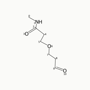 CNC(=O)CCOCCC=O